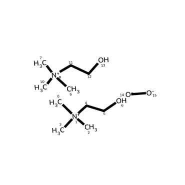 C[N+](C)(C)CCO.C[N+](C)(C)CCO.[O-][O-]